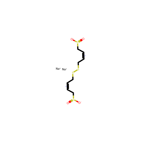 O=S([O-])C/C=C\CSSC/C=C\CS(=O)[O-].[Na+].[Na+]